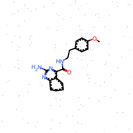 COc1ccc(CCNC(=O)c2nc(N)nc3ccccc23)cc1